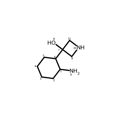 NC1CCCCC1C1(O)CNC1